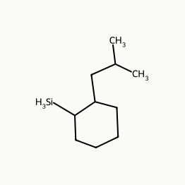 CC(C)CC1CCCCC1[SiH3]